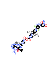 CC(C)(C1CCN(c2c(F)cc(N[C@@H]3CCC(=O)NC3=O)cc2F)CC1)N1CCN(C(=O)COC(=O)N2CCN(c3cnc(-c4c(-c5nn(C(C)(C)C)c6ncnc(N)c56)noc4C4CC4)nc3)CC2)CC1